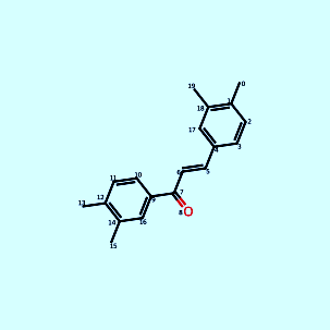 Cc1ccc(C=CC(=O)c2ccc(C)c(C)c2)cc1C